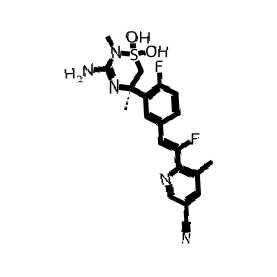 Cc1cc(C#N)cnc1/C(F)=C/c1ccc(F)c([C@]2(C)CS(O)(O)N(C)C(N)=N2)c1